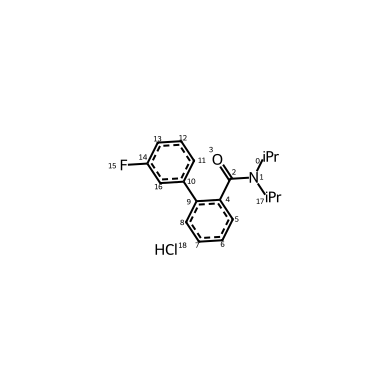 CC(C)N(C(=O)c1ccccc1-c1cccc(F)c1)C(C)C.Cl